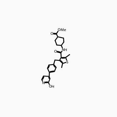 COC(=O)C1CCC(NC(=O)c2c(C)sc(C)c2Cc2ccc(-c3ccnc(O)c3)cc2)CC1